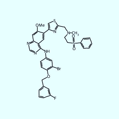 COc1cc2ncnc(Nc3ccc(OCc4cccc(F)c4)c(Br)c3)c2cc1-c1csc(CN(C)CCS(=O)(=O)c2ccccc2)n1